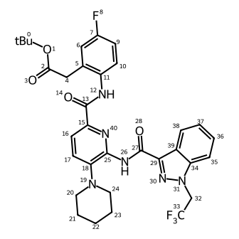 CC(C)(C)OC(=O)Cc1cc(F)ccc1NC(=O)c1ccc(N2CCCCC2)c(NC(=O)c2nn(CC(F)(F)F)c3ccccc23)n1